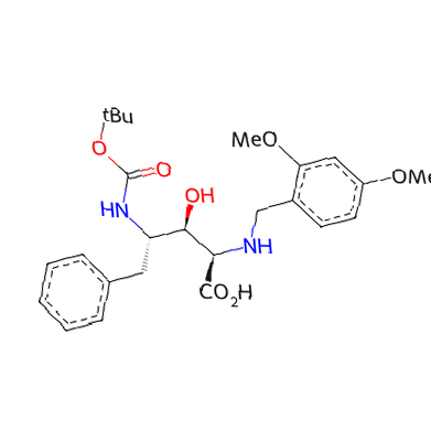 COc1ccc(CN[C@@H](C(=O)O)[C@H](O)[C@H](Cc2ccccc2)NC(=O)OC(C)(C)C)c(OC)c1